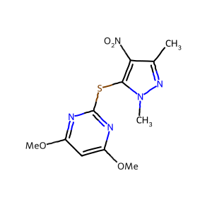 COc1cc(OC)nc(Sc2c([N+](=O)[O-])c(C)nn2C)n1